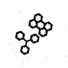 c1cc2cccc3c4cccc5cccc(c(c1)c23)c54.c1ccc(C(c2ccccc2)c2ccccc2)cc1